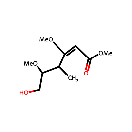 COC(=O)C=C(OC)C(C)C(CO)OC